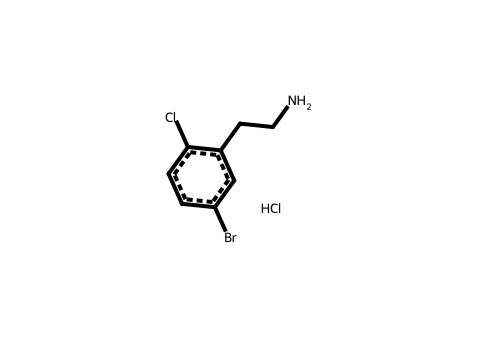 Cl.NCCc1cc(Br)ccc1Cl